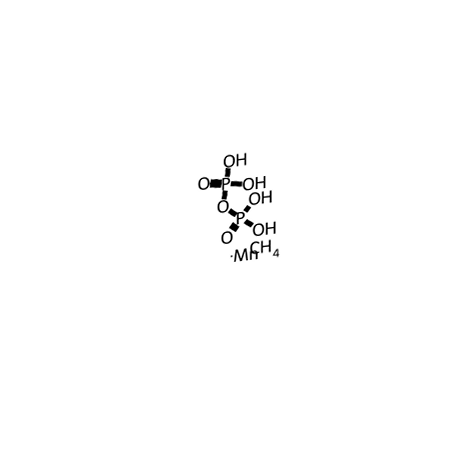 C.O=P(O)(O)OP(=O)(O)O.[Mn]